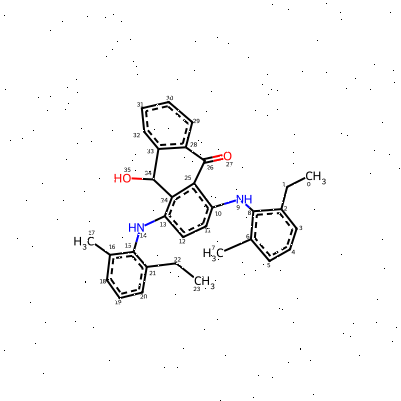 CCc1cccc(C)c1Nc1ccc(Nc2c(C)cccc2CC)c2c1C(=O)c1ccccc1C2O